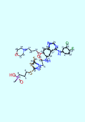 CP(=O)(O)CCCSc1nn(CC(=O)Nc2cc3c(Nc4ccc(F)c(Cl)c4)ncnc3cc2OCCCN2CCOCC2)c(=S)s1